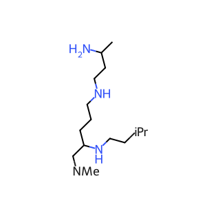 CNCC(CCCNCCC(C)N)NCCC(C)C